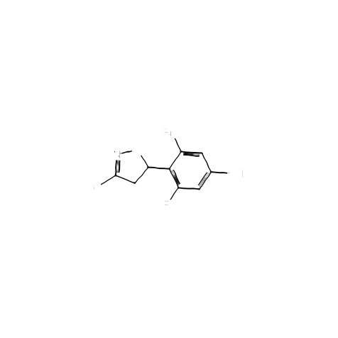 Cc1cc(F)c(C2CC(Br)=NO2)c(Br)c1